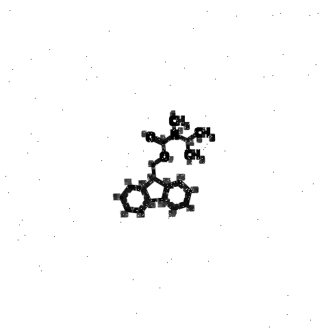 CC(C)N(C)C(=O)OCC1c2ccccc2-c2ccccc21